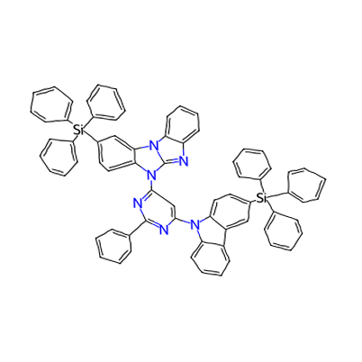 c1ccc(-c2nc(-n3c4ccccc4c4cc([Si](c5ccccc5)(c5ccccc5)c5ccccc5)ccc43)cc(-n3c4ccc([Si](c5ccccc5)(c5ccccc5)c5ccccc5)cc4n4c5ccccc5nc34)n2)cc1